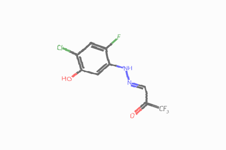 O=C(C=NNc1cc(O)c(Cl)cc1F)C(F)(F)F